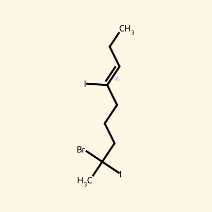 CC/C=C(\I)CCCC(C)(Br)I